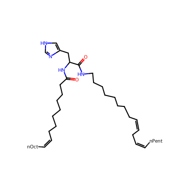 CCCCC/C=C\C/C=C\CCCCCCCCNC(=O)C(Cc1c[nH]cn1)NC(=O)CCCCCCC/C=C\CCCCCCCC